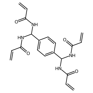 C=CC(=O)NC(NC(=O)C=C)c1ccc(C(NC(=O)C=C)NC(=O)C=C)cc1